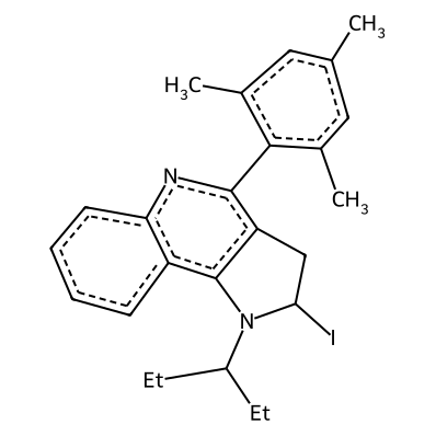 CCC(CC)N1c2c(c(-c3c(C)cc(C)cc3C)nc3ccccc23)CC1I